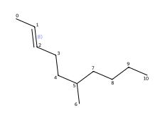 C/C=C/CCC(C)CCCC